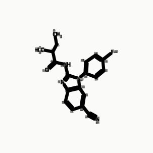 CCC(C)C(=O)Nc1nc2ccc(C#N)cc2n1-c1ccc(F)cc1